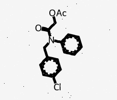 CC(=O)OCC(=O)N(Cc1ccc(Cl)cc1)c1ccccc1